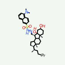 CC(C)CC[C@@H](C)[C@H]1CCC2C3C(CC[C@@]21C)[C@@]1(C)CC[C@H](O)C[C@@]1(O)[C@@H]3/C=N/NS(=O)(=O)c1ccc2c(N(C)C)cccc2c1